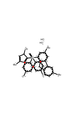 Cl.Cl.[CH2]=[Zr]([C]1=CC(C(C)(C)C)=CC1CCC)([c]1ccc(Cl)cc1)([c]1ccc(Cl)cc1)[c]1cc(C(C)(C)C)cc2c1Cc1ccc(C(C)(C)C)cc1-2